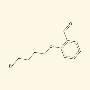 O=Cc1ccccc1OCCCCBr